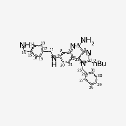 CCCCc1nc2c(N)nc3cc(NCc4ccc(CN)cc4)ccc3c2n1Cc1ccccc1